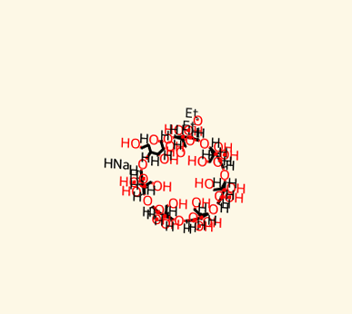 CCOCC.OC[C@H]1O[C@@H]2O[C@H]3[C@H](O)[C@@H](O)[C@@H](O[C@H]4[C@H](O)[C@@H](O)[C@@H](O[C@H]5[C@H](O)[C@@H](O)[C@@H](O[C@H]6[C@H](O)[C@@H](O)[C@@H](O[C@H]7[C@H](O)[C@@H](O)[C@@H](O[C@H]8[C@H](O)[C@@H](O)[C@@H](O[C@H]1[C@H](O)[C@H]2O)O[C@@H]8CO)O[C@@H]7CO)O[C@@H]6CO)O[C@@H]5CO)O[C@@H]4CO)O[C@@H]3CO.[NaH]